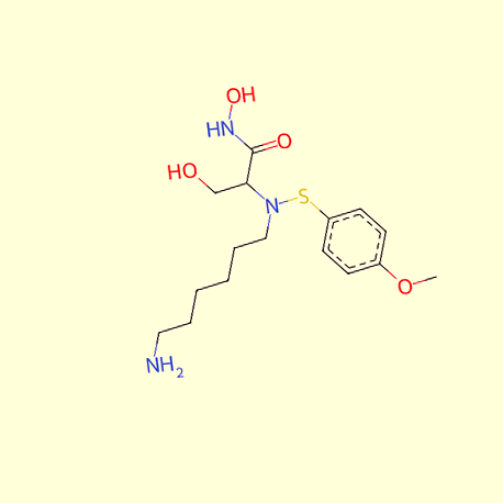 COc1ccc(SN(CCCCCCN)C(CO)C(=O)NO)cc1